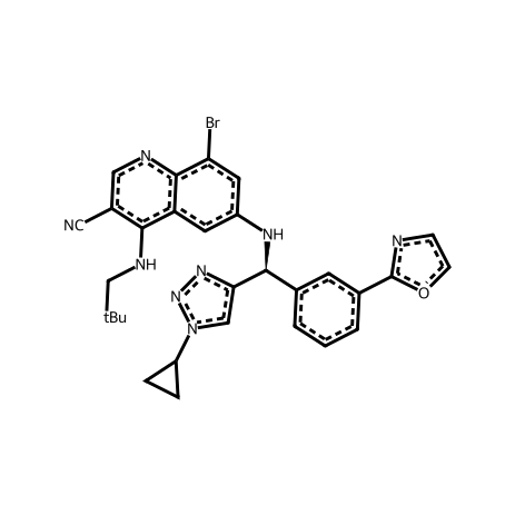 CC(C)(C)CNc1c(C#N)cnc2c(Br)cc(N[C@@H](c3cccc(-c4ncco4)c3)c3cn(C4CC4)nn3)cc12